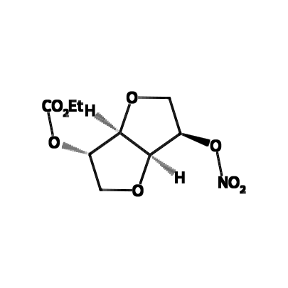 C[CH]OC(=O)O[C@H]1CO[C@H]2[C@@H]1OC[C@H]2O[N+](=O)[O-]